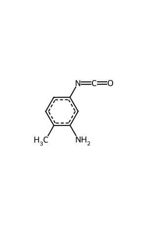 Cc1ccc(N=C=O)cc1N